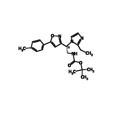 CCc1nccn1[C@H](CNC(=O)OC(C)(C)C)c1cc(-c2ccc(C)cc2)on1